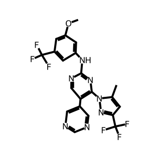 COc1cc(Nc2ncc(-c3cncnc3)c(-n3nc(C(F)(F)F)cc3C)n2)cc(C(F)(F)F)c1